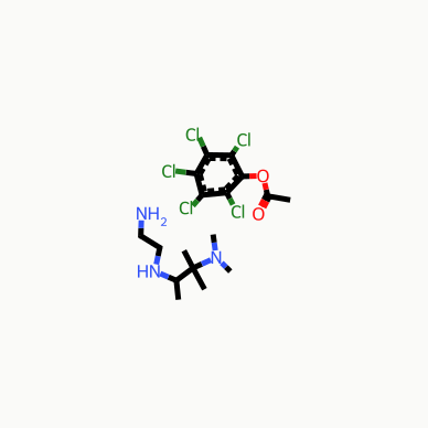 CC(=O)Oc1c(Cl)c(Cl)c(Cl)c(Cl)c1Cl.CC(NCCN)C(C)(C)N(C)C